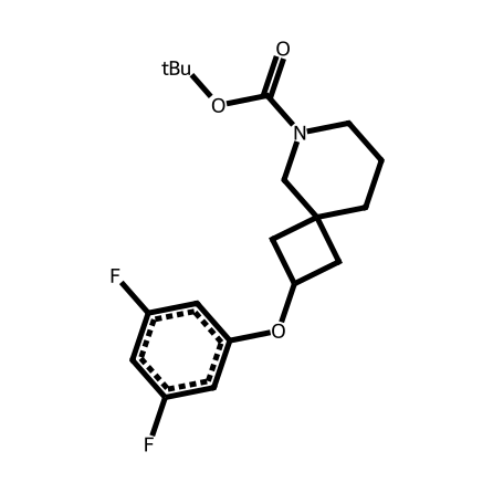 CC(C)(C)OC(=O)N1CCCC2(CC(Oc3cc(F)cc(F)c3)C2)C1